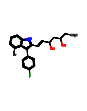 CC(C)c1cccc2[nH]c(/C=C/C(O)CC(O)CC(=O)O)c(-c3ccc(F)cc3)c12